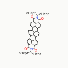 CCCCCCCC(CCCCCCC)N1C(=O)c2ccc3c4ccc5c6ccc7c8c(ccc(c9ccc(c%10ccc(c2c3%10)C1=O)c4c59)c86)C(=O)N(C(CCCCCCC)CCCCCCC)C7=O